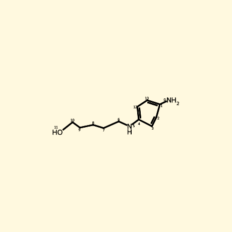 Nc1ccc(NCCCCCO)cc1